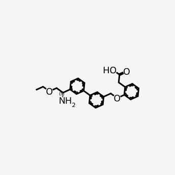 CCOC[C@@H](N)c1cccc(-c2cccc(COc3ccccc3CC(=O)O)c2)c1